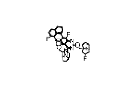 C#Cc1c(F)ccc2cccc(-c3c(F)c4c5c(nc(OC[C@@]67CCCN6C[C@H](F)C7)nc5c3F)N3CC5CCC(N5)C3CO4)c12